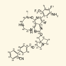 Cc1c(F)c(N)cc(-c2nc3c4c(nc(OCC56CCCN5C[C@H](OCc5ccc(-c7ccccc7C#N)cc5)C6)nc4c2F)NCCNCC[C@H](C)O3)c1C(F)(F)F